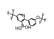 OB(O)c1cc(C(F)(F)F)cnc1-c1cccc(OC(F)(F)F)c1